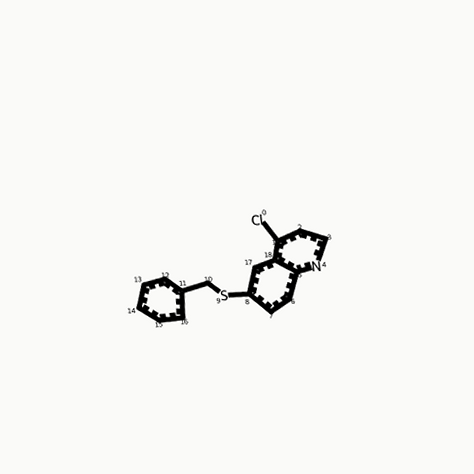 Clc1ccnc2ccc(SCc3ccccc3)cc12